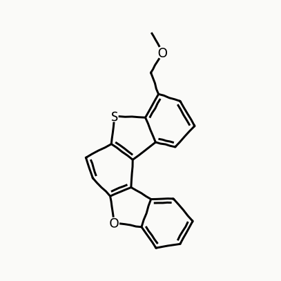 COCc1cccc2c1sc1ccc3oc4ccccc4c3c12